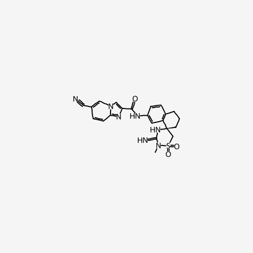 CN1C(=N)N[C@@]2(CCCc3ccc(NC(=O)c4cn5cc(C#N)ccc5n4)cc32)CS1(=O)=O